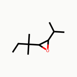 CCC(C)(C)C1OC1C(C)C